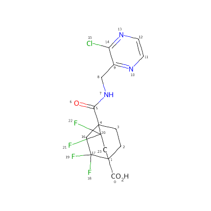 O=C(O)C12CCC(C(=O)NCc3nccnc3Cl)(CC1(F)F)C(F)(F)C2